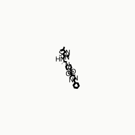 Cc1csc2c(N[C@@H](C)CN3CCN(S(=O)(=O)c4cnc(-c5ccccc5)nc4)CC3)ncnc12